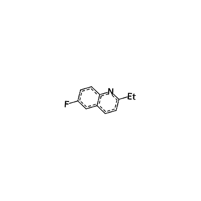 CCc1ccc2cc(F)ccc2n1